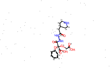 O=C(O)COC(Oc1ccccc1)(C(=O)O)C(=O)NNC(=O)CC1CCNCC1